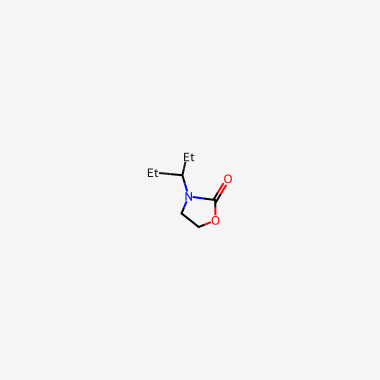 CCC(CC)N1CCOC1=O